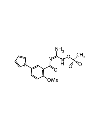 COc1ccc(-n2cccc2)cc1C(=O)N=C(N)NOS(C)(=O)=O